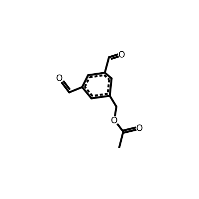 CC(=O)OCc1cc(C=O)cc(C=O)c1